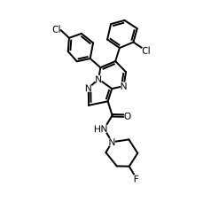 O=C(NN1CCC(F)CC1)c1cnn2c(-c3ccc(Cl)cc3)c(-c3ccccc3Cl)cnc12